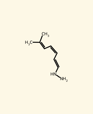 CC(C)=C/C=C\C=C\NN